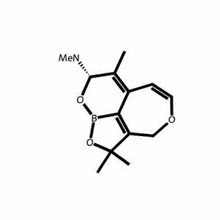 CN[C@H]1OB2OC(C)(C)C3=C2C(=C1C)C=COC3